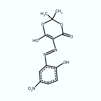 CC1(C)OC(=O)C(N=Nc2cc([N+](=O)[O-])ccc2O)=C(O)O1